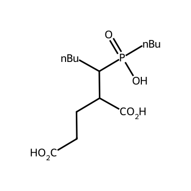 CCCCC(C(CCC(=O)O)C(=O)O)P(=O)(O)CCCC